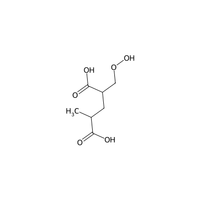 CC(CC(COO)C(=O)O)C(=O)O